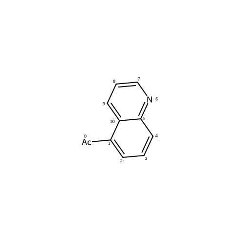 CC(=O)c1cc[c]c2ncccc12